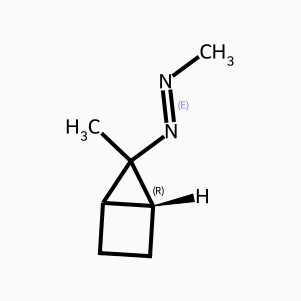 C/N=N/C1(C)C2CC[C@H]21